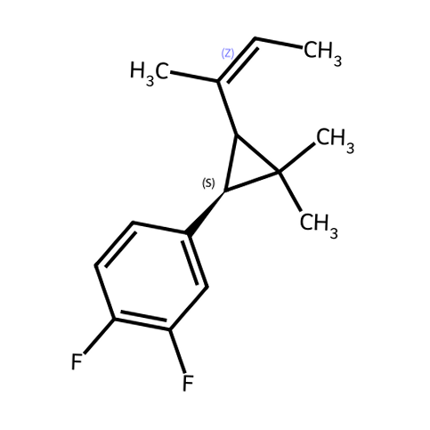 C/C=C(/C)C1[C@H](c2ccc(F)c(F)c2)C1(C)C